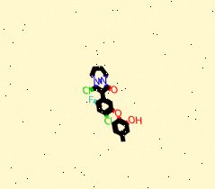 Cc1ccc(Oc2cc(-c3c(Cl)n4n(c3=O)CCCC4)c(F)cc2Cl)c(O)c1